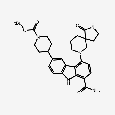 CC(C)(C)OC(=O)N1CCC(c2ccc3[nH]c4c(C(N)=O)ccc(N5CCCC6(CCNC6=O)C5)c4c3c2)CC1